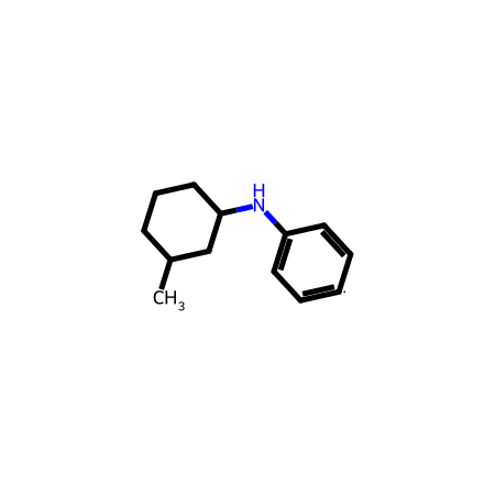 CC1CCCC(Nc2cc[c]cc2)C1